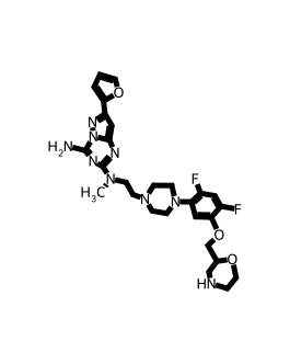 CN(CCN1CCN(c2cc(OCC3CNCCO3)c(F)cc2F)CC1)c1nc(N)n2nc(-c3ccco3)cc2n1